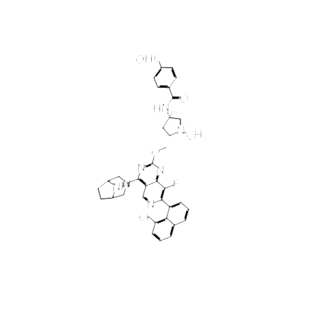 CN1C[C@H](NC(=O)c2ccc(C=O)cc2)C[C@H]1COc1nc(N2CC3CCC(C2)N3)c2cnc(-c3cccc4cccc(Cl)c34)c(F)c2n1